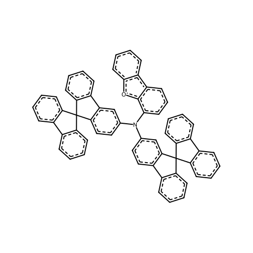 c1ccc2c(c1)-c1ccccc1C21c2ccccc2-c2cc(N(c3ccc4c(c3)C3(c5ccccc5-c5ccccc53)c3ccccc3-4)c3cccc4c3oc3ccccc34)ccc21